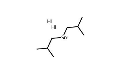 CC(C)[CH2][Sn][CH2]C(C)C.I.I